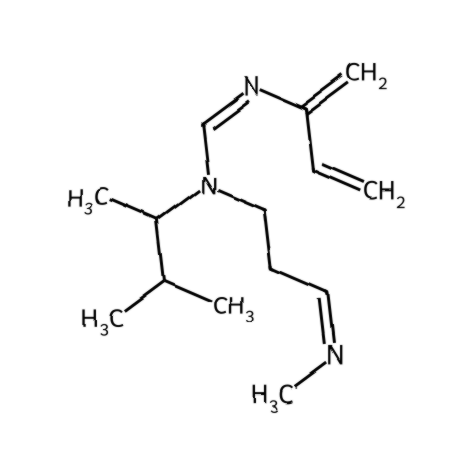 C=CC(=C)/N=C\N(CC/C=N\C)C(C)C(C)C